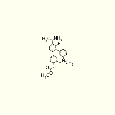 COC(=O)Cc1ccccc1CN(C)c1cccc(-c2cccc(C(C)N)c2F)c1